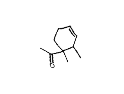 CC(=O)C1(C)CCC=CC1C